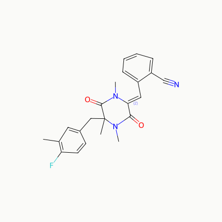 Cc1cc(CC2(C)C(=O)N(C)/C(=C\c3ccccc3C#N)C(=O)N2C)ccc1F